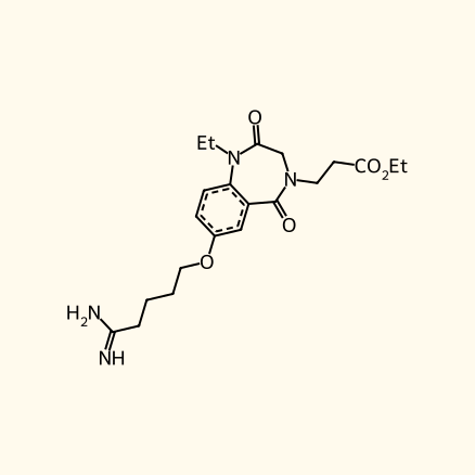 CCOC(=O)CCN1CC(=O)N(CC)c2ccc(OCCCCC(=N)N)cc2C1=O